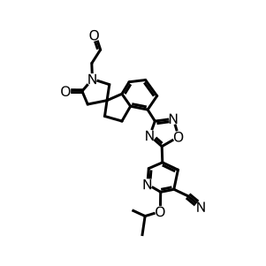 CC(C)Oc1ncc(-c2nc(-c3cccc4c3CCC43CC(=O)N(CC=O)C3)no2)cc1C#N